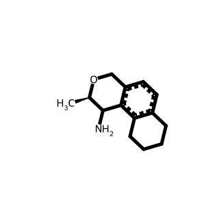 C[C@H]1OCc2ccc3c(c2C1N)CCCC3